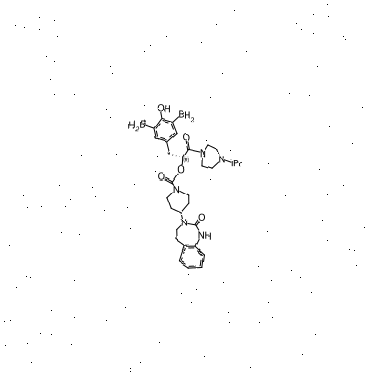 Bc1cc(C[C@@H](OC(=O)N2CCC(N3CCc4ccccc4NC3=O)CC2)C(=O)N2CCN(C(C)C)CC2)cc(B)c1O